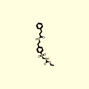 CCOC(=O)NCS(=O)(=O)c1ccc(CCNC(=O)CCc2ccccc2)cc1